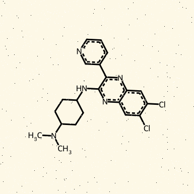 CN(C)C1CCC(Nc2nc3cc(Cl)c(Cl)cc3nc2-c2cccnc2)CC1